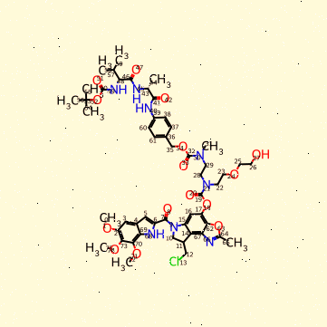 COc1cc2cc(C(=O)N3CC(CCl)c4c3cc(OC(=O)N(CCOCCO)CCN(C)C(=O)OCc3ccc(NC(=O)[C@@H](C)NC(=O)[C@H](NC(=O)OC(C)(C)C)C(C)C)cc3)c3oc(C)nc43)[nH]c2c(OC)c1OC